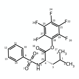 CC(C)C[C@H](NS(=O)(=O)c1ccccc1)C(=O)Oc1c(F)c(F)c(F)c(F)c1F